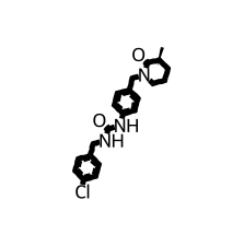 C[C@H]1CCCN(Cc2ccc(NC(=O)NCc3ccc(Cl)cc3)cc2)C1=O